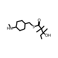 CCC(C)(O)C(C)(C)C(=O)SCC1CCC(NC)CC1